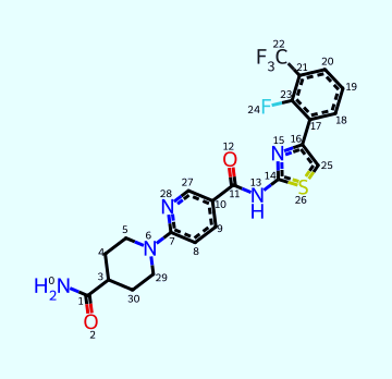 NC(=O)C1CCN(c2ccc(C(=O)Nc3nc(-c4cccc(C(F)(F)F)c4F)cs3)cn2)CC1